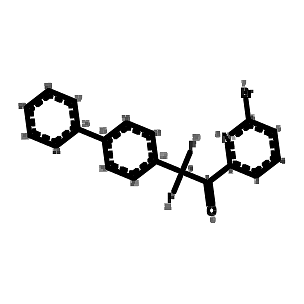 O=C(c1cccc(Br)n1)C(F)(F)c1ccc(-c2ccccc2)cc1